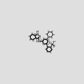 FC(F)(F)c1ccccc1-c1cc(N2CCCCC2)cc(Nc2n[nH]c3ccccc23)n1